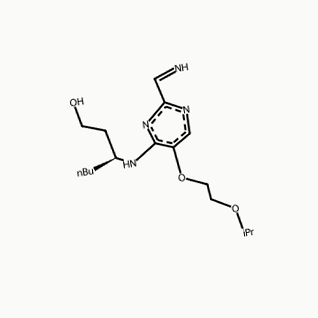 CCCC[C@@H](CCO)Nc1nc(C=N)ncc1OCCOC(C)C